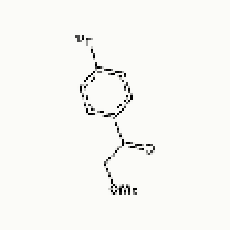 COCC(=O)c1ccc([18F])cc1